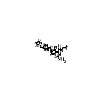 CCCCNc1nc(N)nc2ccn(Cc3ncc(CN4CCCC4)cn3)c(=O)c12